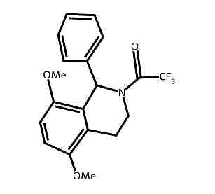 COc1ccc(OC)c2c1CCN(C(=O)C(F)(F)F)C2c1ccccc1